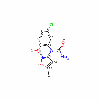 COc1ccc(Cl)cc1N(C(N)=O)c1cc(C)on1